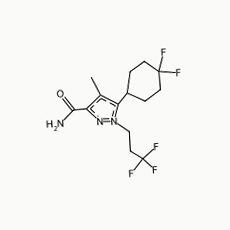 Cc1c(C(N)=O)nn(CCC(F)(F)F)c1C1CCC(F)(F)CC1